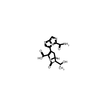 C[C@@H](O)[C@H]1C(=O)N2C(C(=O)O)=C(c3csc4cnc(C(N)=O)n34)C[C@H]12